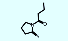 CCCC(=O)N1CCCC1=S